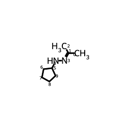 CC(C)=NNC1CCCC1